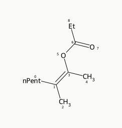 CCCCCC(C)=C(C)OC(=O)CC